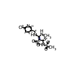 CN/C(NCc1ccc(Cl)nc1)=C(\C(=S)NS(C)(=O)=O)[N+](=O)[O-]